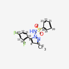 O=S(=O)(Nn1nc(C(F)(F)F)cc1-c1ccc(F)cc1F)c1ccccc1